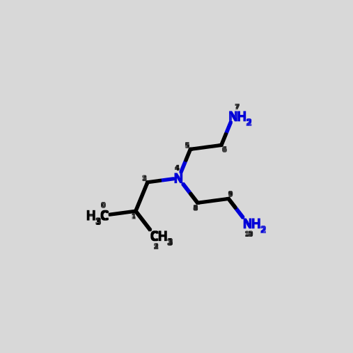 CC(C)CN(CCN)CCN